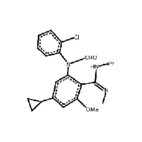 C/N=C(/NC(C)C)c1c(OC)cc(C2CC2)cc1N(C=O)c1ccccc1Cl